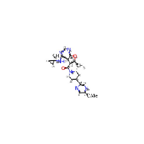 COc1cnc(C2CCN(C(=O)c3c(C)oc4ncnc(NC5(C)CC5)c34)CC2)cn1